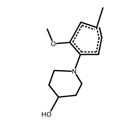 COc1cc(C)ccc1N1CCC(O)CC1